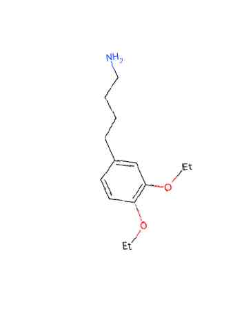 CCOc1ccc(CCCCN)cc1OCC